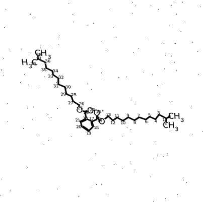 CC(C)CCCCCCCCCCCOC(=O)c1ccccc1C(=O)OCCCCCCCCCCCC(C)C